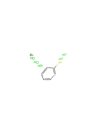 Cl.Cl.Cl.Cl.Cl.Sc1ccccc1.[Zn]